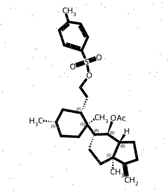 C=C1CC[C@H]2[C@H](OC(C)=O)[C@@H]([C@@]3(C)CC[C@H](C)C[C@@H]3CCOS(=O)(=O)c3ccc(C)cc3)CC[C@]12C